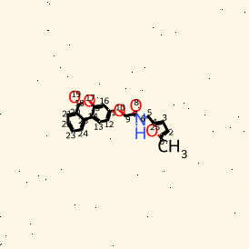 Cc1ccc(CNC(=O)COc2ccc3c(c2)oc(=O)c2ccccc23)o1